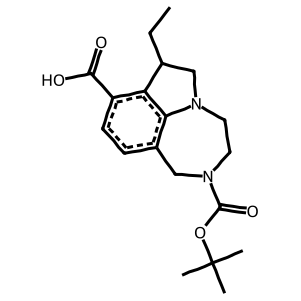 CCC1CN2CCN(C(=O)OC(C)(C)C)Cc3ccc(C(=O)O)c1c32